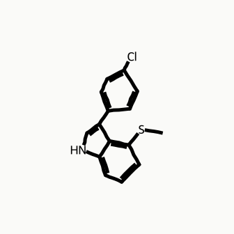 CSc1cccc2[nH]cc(-c3ccc(Cl)cc3)c12